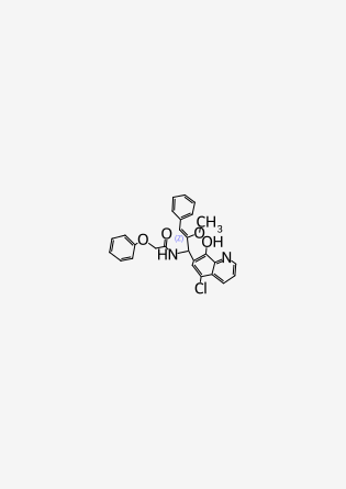 CO/C(=C\c1ccccc1)C(NC(=O)COc1ccccc1)c1cc(Cl)c2cccnc2c1O